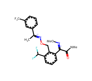 CNC(=O)/C(=N/OC)c1cccc(C(F)F)c1CO/N=C(\C)c1cccc(C(F)(F)F)c1